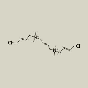 C[N+](C)(C/C=C/CCl)C/C=C/C[N+](C)(C)C/C=C/CCl